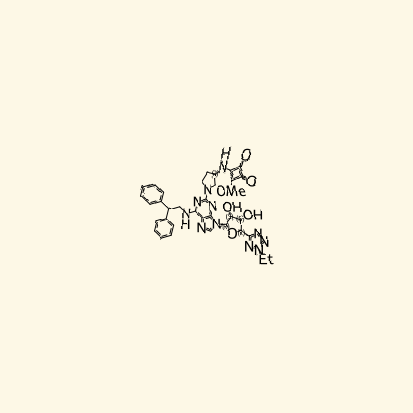 CCn1nnc([C@H]2O[C@@H](n3cnc4c(NCC(c5ccccc5)c5ccccc5)nc(N5CC[C@@H](Nc6c(OC)c(=O)c6=O)C5)nc43)[C@@H](O)[C@@H]2O)n1